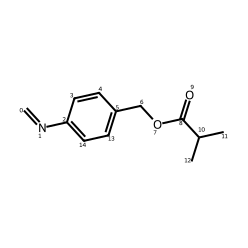 C=Nc1ccc(COC(=O)C(C)C)cc1